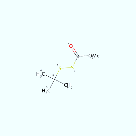 COC(=O)SSC(C)(C)C